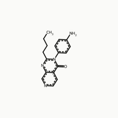 CCCCc1nc2cnccc2c(=O)n1-c1ccc(N)cc1